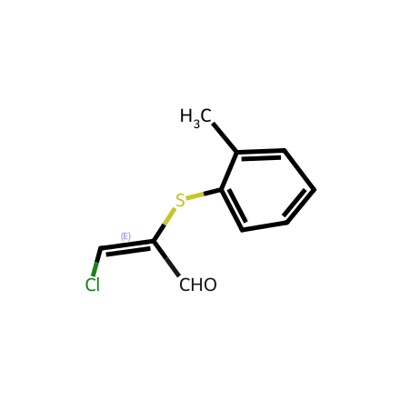 Cc1ccccc1S/C(C=O)=C/Cl